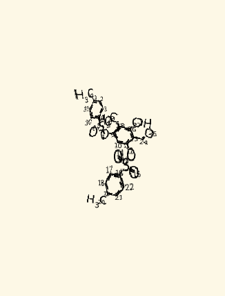 Cc1ccc(S(=O)(=O)Oc2cc(OS(=O)(=O)c3ccc(C)cc3)c(C=O)c(O)c2C)cc1